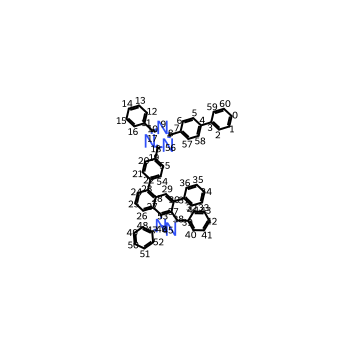 c1ccc(-c2ccc(-c3nc(-c4ccccc4)nc(-c4ccc(-c5cccc6c5cc(-c5ccccc5)c5c(-c7ccccc7)nn(-c7ccccc7)c56)cc4)n3)cc2)cc1